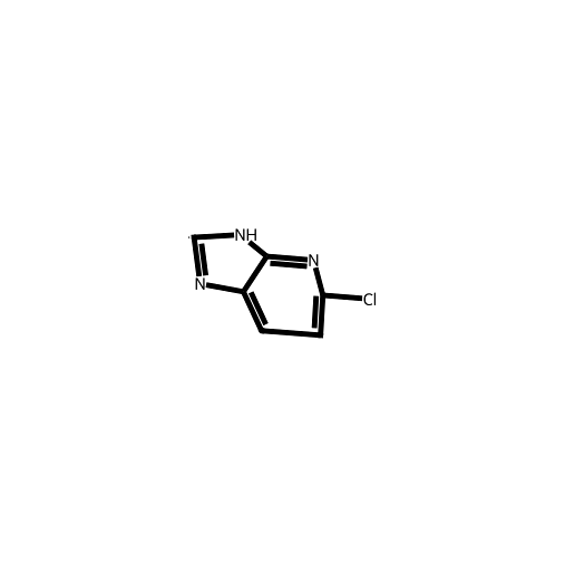 Clc1ccc2n[c][nH]c2n1